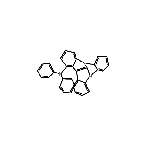 c1ccc(N(c2ccccc2)c2cccc3c2c2c4ccccc4n4c5ccccc5n3c24)cc1